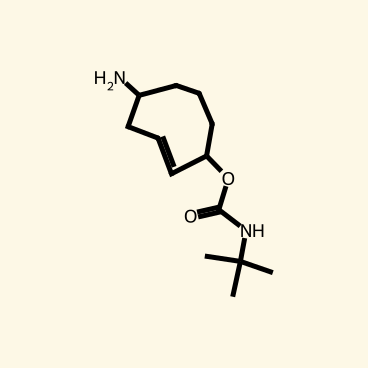 CC(C)(C)NC(=O)OC1/C=C/CC(N)CCC1